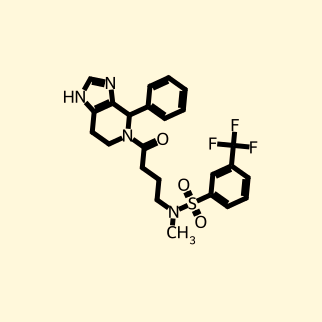 CN(CCCC(=O)N1CCc2[nH]cnc2C1c1ccccc1)S(=O)(=O)c1cccc(C(F)(F)F)c1